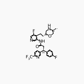 [CH2][C@H]1CO[C@H](CCc2c(F)cncc2NC(=O)C[C@@H](c2ccc(F)cc2)c2ccc(C(F)(F)F)nc2)CN1